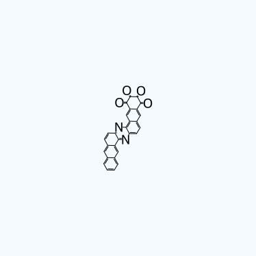 O=c1c(=O)c(=O)c2cc3c(ccc4nc5c(ccc6cc7ccccc7cc65)nc43)cc2c1=O